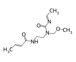 CC=CC(=O)NCCN(COC)C(=O)N=CC